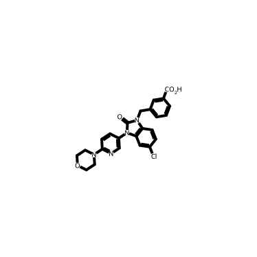 O=C(O)c1cccc(Cn2c(=O)n(-c3ccc(N4CCOCC4)nc3)c3cc(Cl)ccc32)c1